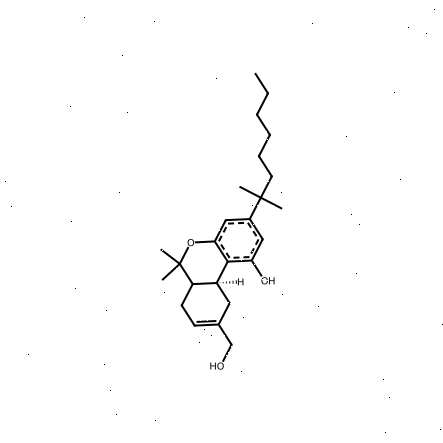 CCCCCCC(C)(C)c1cc(O)c2c(c1)OC(C)(C)C1CC=C(CO)C[C@H]21